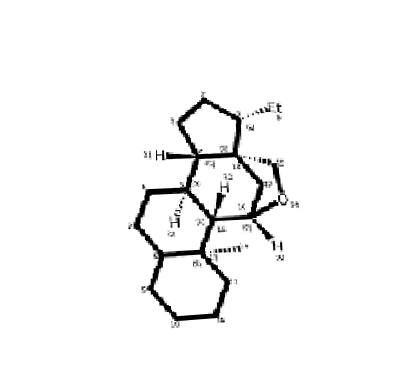 CC[C@H]1CC[C@H]2[C@@H]3CCC4CCCC[C@]4(C)[C@H]3[C@@H]3C[C@]12CO3